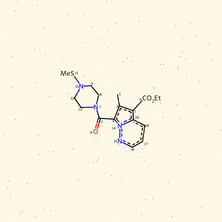 CCOC(=O)c1c(C)c(C(=O)N2CCN(SC)CC2)n2ncccc12